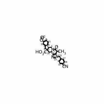 CC(C(=O)N1CCC(Cc2cccc(OC(F)(F)F)c2)(C(=O)O)CC1)c1cncn1Cc1ccc(C#N)cc1